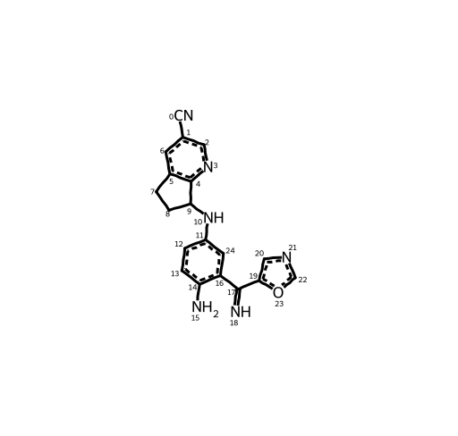 N#Cc1cnc2c(c1)CCC2Nc1ccc(N)c(C(=N)c2cnco2)c1